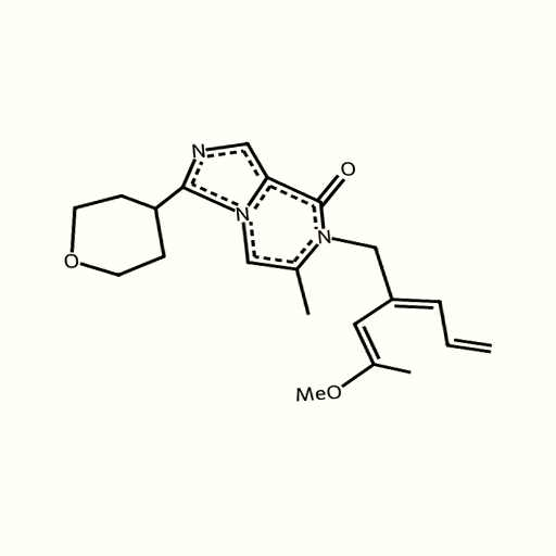 C=C/C=C(\C=C(/C)OC)Cn1c(C)cn2c(C3CCOCC3)ncc2c1=O